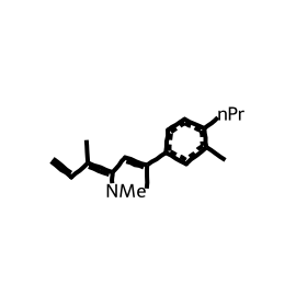 C=C/C(C)=C(/C=C(\C)c1ccc(CCC)c(C)c1)NC